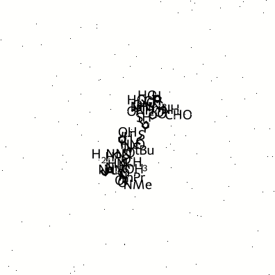 CCC[C@H](NC(=O)[C@H](Cc1c[nH]c2ncccc12)NC(=O)[C@@H](NC(=O)[C@@H]1C[C@@H](N)CN1C(=O)[C@H](Cc1ccc(O)cc1)NC(=O)[C@@H](NC(=O)CCSCc1cccc(CSC[C@H](NC(=O)[C@@H](NC(=O)[C@@H](NC(=O)[C@H](Cc2ccc(O)cc2)NC(=O)C=O)C2CCCCC2)[C@@H](C)O)C(N)=O)c1)C(C)(C)C)[C@@H](C)O)C(=O)NC